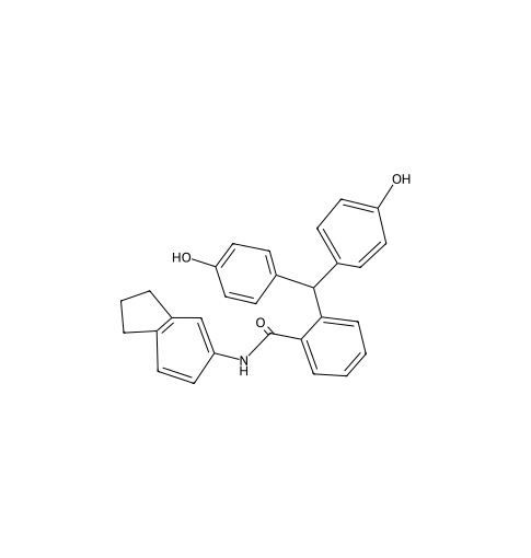 O=C(Nc1ccc2c(c1)CCC2)c1ccccc1C(c1ccc(O)cc1)c1ccc(O)cc1